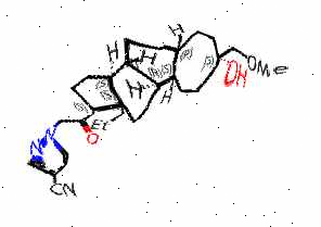 CC[C@]12CC[C@H]3[C@@H](CC[C@@H]4CC[C@@](O)(COC)CC[C@@H]43)[C@@H]1CC[C@@H]2C(=O)Cn1cc(C#N)cn1